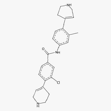 Cc1cc(NC(=O)c2ccc(C3=CCNCC3)c(Cl)c2)ccc1C1=CCNCC1